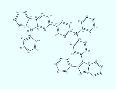 c1ccc(-c2nc3ccccn3c2-c2ccc(N(c3ccccc3)c3ccc(-c4ccc5c6ccccc6n(-c6ccccc6)c5c4)cc3)cc2)cc1